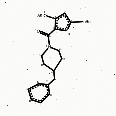 CCCCc1cc(OC)c(C(=O)N2CCC(Cc3ccccc3)CC2)s1